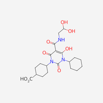 O=C(NCC(O)O)c1c(O)n(C2CCCCC2)c(=O)n(C2CCC(C(=O)O)CC2)c1=O